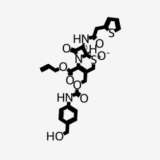 C=CCOC(=O)C1=C(COC(=O)Nc2ccc(CO)cc2)C[S+]([O-])[C@@H]2[C@H](NC(=O)Cc3cccs3)C(=O)N12